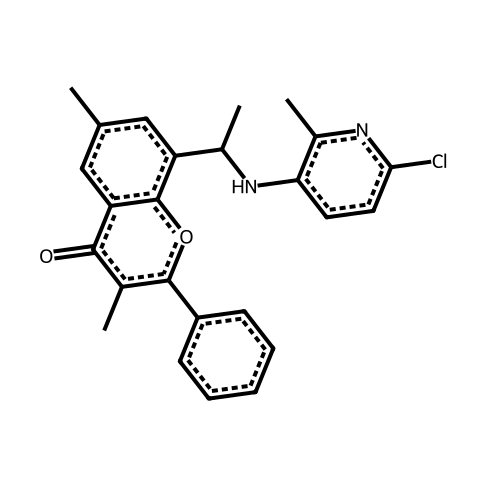 Cc1cc(C(C)Nc2ccc(Cl)nc2C)c2oc(-c3ccccc3)c(C)c(=O)c2c1